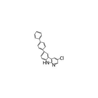 Clc1cnc2[nH]c3ccc(-c4ccc(-c5ccccc5)cc4)cc3c2c1